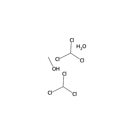 CO.ClC(Cl)Cl.ClC(Cl)Cl.O